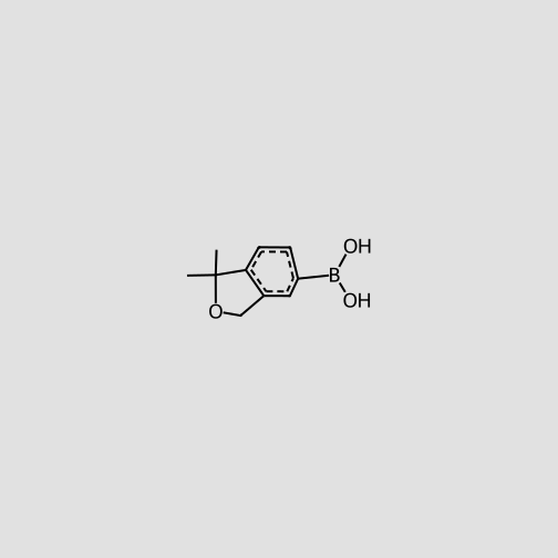 CC1(C)OCc2cc(B(O)O)ccc21